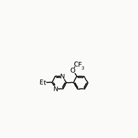 CCc1cnc(-c2ccccc2OC(F)(F)F)cn1